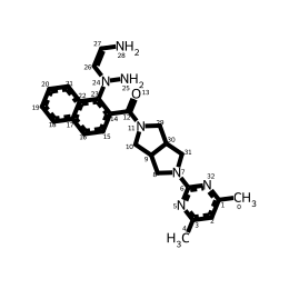 Cc1cc(C)nc(N2CC3CN(C(=O)c4ccc5ccccc5c4N(N)/C=C\N)CC3C2)n1